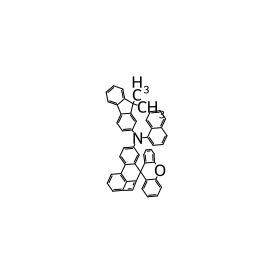 CC1(C)c2ccccc2-c2ccc(N(c3ccc4c(c3)C3(c5ccccc5Oc5ccccc53)c3cccc5cccc-4c35)c3cccc4ccccc34)cc21